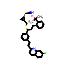 CC(C)(O)c1ccccc1CCC(SCC1C[C@@H]1CC#N)c1cccc(C=Cc2ccc3ccc(Cl)cc3n2)c1